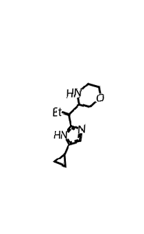 CCC(c1ncc(C2CC2)[nH]1)C1COCCN1